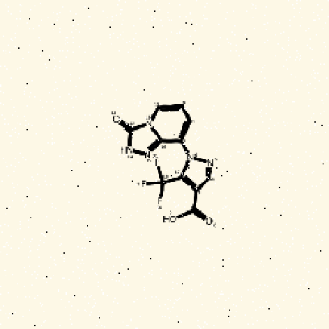 O=C(O)c1cnn(-c2cccn3c(=O)[nH]nc23)c1C(F)(F)F